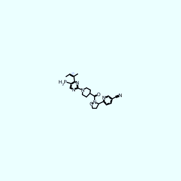 C/C=C(/C)c1nc(N2CCC(C(=O)N3OCCC3c3ccc(C#N)cn3)CC2)ncc1P